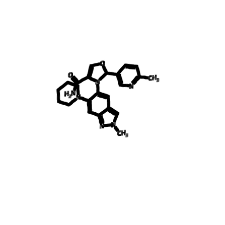 Cc1ccc(C2OC=C(C(N)=O)N2c2cc3cn(C)nc3cc2N2CCCCC2)cn1